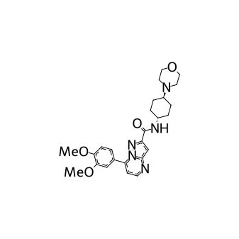 COc1ccc(-c2ccnc3cc(C(=O)N[C@H]4CC[C@H](N5CCOCC5)CC4)nn23)cc1OC